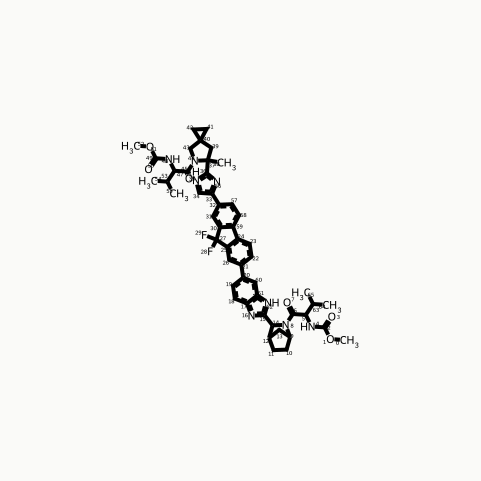 COC(=O)NC(C(=O)N1C2CCC(C2)C1c1nc2ccc(-c3ccc4c(c3)C(F)(F)c3cc(-c5c[nH]c(C6(C)CC7(CC7)CN6C(=O)C(NC(=O)OC)C(C)C)n5)ccc3-4)cc2[nH]1)C(C)C